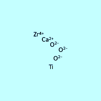 [Ca+2].[O-2].[O-2].[O-2].[Ti].[Zr+4]